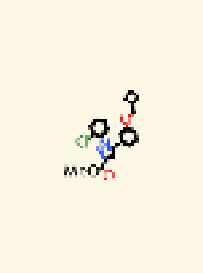 COC(=O)c1cc(-c2cccc(OCC3CCC3)c2)n(-c2ccccc2Cl)n1